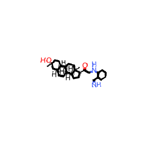 C[C@@]1(O)CC[C@H]2[C@H](CC[C@@H]3[C@@H]2CC[C@]2(C)[C@@H](C(=O)CNC4=C(C=N)CCCC4)CC[C@@H]32)C1